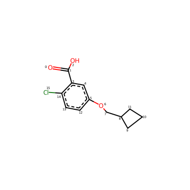 O=C(O)c1cc(OCC2CCC2)ccc1Cl